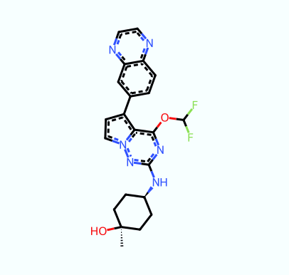 C[C@]1(O)CC[C@@H](Nc2nc(OC(F)F)c3c(-c4ccc5nccnc5c4)ccn3n2)CC1